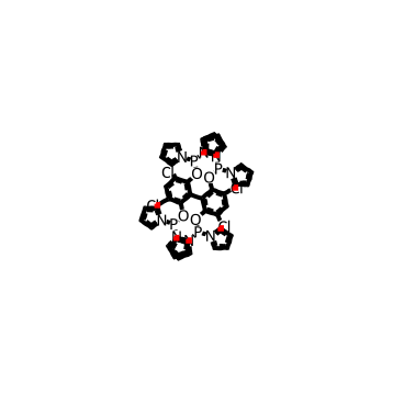 Clc1cc(Cl)c(OP(n2cccc2)n2cccc2)c(-c2c(OP(n3cccc3)n3cccc3)c(Cl)cc(Cl)c2OP(n2cccc2)n2cccc2)c1OP(n1cccc1)n1cccc1